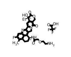 CC[C@@]1(O)C(=O)OCc2c1cc1n(c2=O)Cc2c-1nc1cc(F)c(C)c3c1c2[C@@H](NC(=O)COCCN)CC3.O=C(O)C(F)(F)F